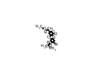 CCOC(=O)C(C)c1cc(Cl)c(Oc2ccc(NC(=O)C(C)C)c(Br)c2)c(Cl)c1